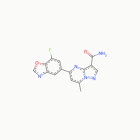 Cc1cc(-c2cc(F)c3ocnc3c2)nc2c(C(N)=O)cnn12